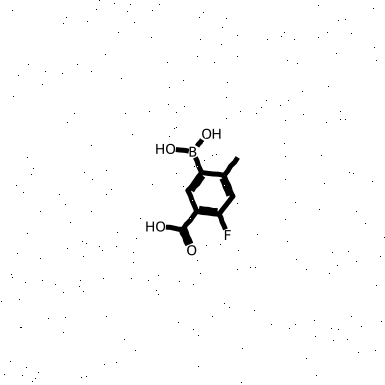 Cc1cc(F)c(C(=O)O)cc1B(O)O